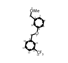 COCc1cccc(OCc2cccc(C(F)(F)F)c2)c1